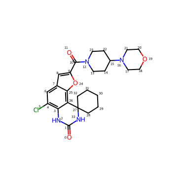 O=C1Nc2c(Cl)cc3cc(C(=O)N4CCC(N5CCOCC5)CC4)oc3c2C2(CCCCC2)N1